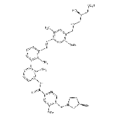 COc1cc(/C=C/c2cccc(-c3cccc(NC(=O)c4cc(OC)c(CN5CC[C@@H](O)C5)cn4)c3C)c2C)c(C(F)(F)F)cc1CNC[C@@H](O)CC(=O)O